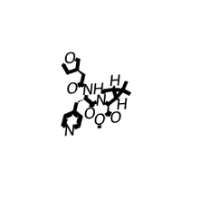 COC(=O)[C@@H]1[C@@H]2[C@H](CN1C(=O)[C@H](Cc1ccncc1)NC(=O)C[C@H]1CCOC1)C2(C)C